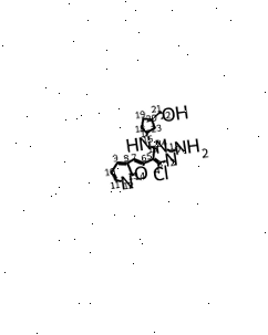 Nc1nc(Cl)c(-c2cc3cccnc3o2)c(N[C@H]2CC[C@@H](CO)C2)n1